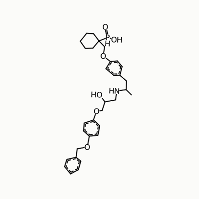 CC(Cc1ccc(OCC2([PH](=O)O)CCCCC2)cc1)NCC(O)COc1ccc(OCc2ccccc2)cc1